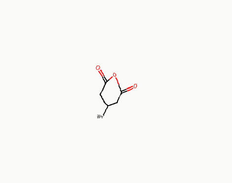 CC(C)C1CC(=O)OC(=O)C1